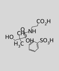 CC(C)(CO)C(O)C(=O)NCCC(=O)O.O=S(=O)(O)c1ccccc1